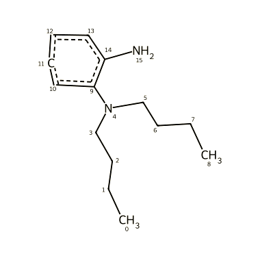 CCCCN(CCCC)c1ccccc1N